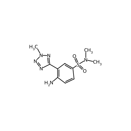 CN(C)S(=O)(=O)c1ccc(N)c(-c2nnn(C)n2)c1